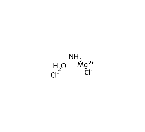 N.O.[Cl-].[Cl-].[Mg+2]